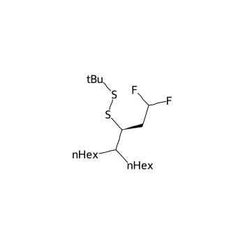 CCCCCCC(CCCCCC)[C@H](CC(F)F)SSC(C)(C)C